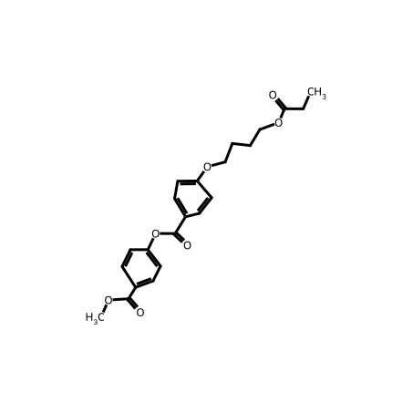 CCC(=O)OCCCCOc1ccc(C(=O)Oc2ccc(C(=O)OC)cc2)cc1